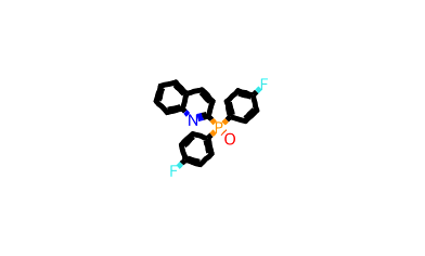 O=P(c1ccc(F)cc1)(c1ccc(F)cc1)c1ccc2ccccc2n1